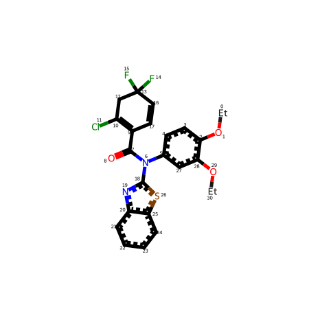 CCOc1ccc(N(C(=O)C2=C(Cl)CC(F)(F)C=C2)c2nc3ccccc3s2)cc1OCC